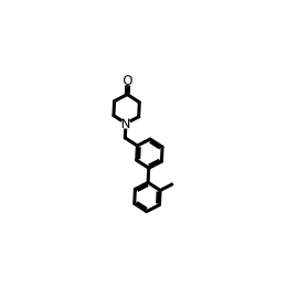 Cc1ccccc1-c1cccc(CN2CCC(=O)CC2)c1